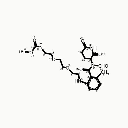 Cc1cccc(NCCOCCOCCNC(=O)OC(C)(C)C)c1C(=O)N(C=O)C1CCC(=O)NC1=O